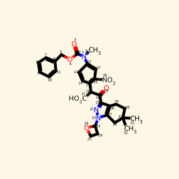 CN(C(=O)OCc1ccccc1)c1ccc(C(C(=O)O)C(=O)c2nn(C3CCO3)c3c2CCC(C)(C)C3)c([N+](=O)[O-])c1